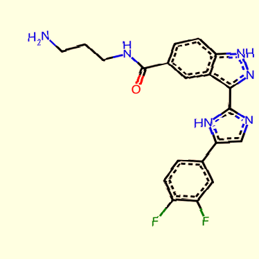 NCCCNC(=O)c1ccc2[nH]nc(-c3ncc(-c4ccc(F)c(F)c4)[nH]3)c2c1